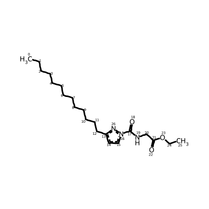 CCCCCCCCCCCCCc1ccn(C(=O)NCC(=O)OCC)n1